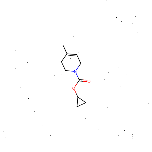 CC1=CCN(C(=O)OC2CC2)CC1